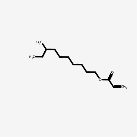 C=CC(=O)OCCCCCCCC(C)CC